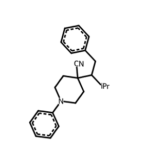 CC(C)C(Cc1ccccc1)C1(C#N)CCN(c2ccccc2)CC1